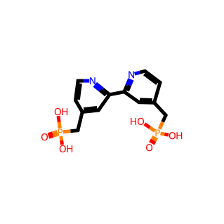 O=P(O)(O)Cc1ccnc(-c2cc(CP(=O)(O)O)ccn2)c1